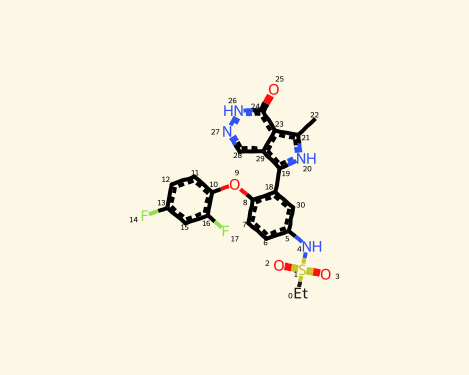 CCS(=O)(=O)Nc1ccc(Oc2ccc(F)cc2F)c(-c2[nH]c(C)c3c(=O)[nH]ncc23)c1